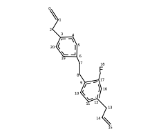 C=CCc1ccc(CCc2ccc(CC=C)cc2F)cc1